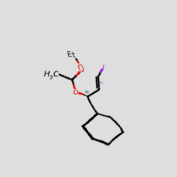 CCOC(C)O[C@@H](/C=C/I)C1CCCCC1